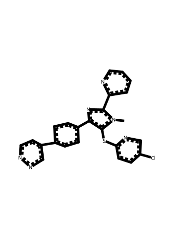 Cn1c(-c2ccccn2)nc(-c2ccc(-c3ccnnc3)cc2)c1Sc1ccc(Cl)cn1